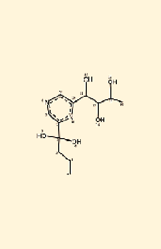 CCCC(O)(O)c1cncc(C(O)C(O)C(C)O)n1